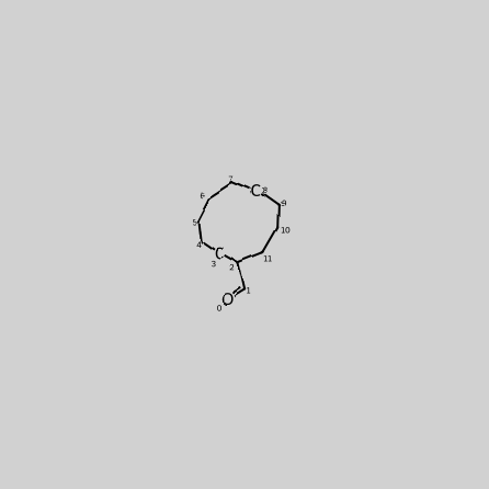 O=CC1CCCCCCCCC1